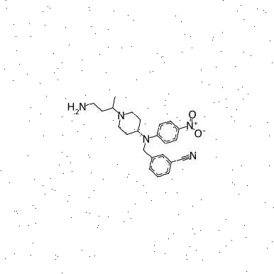 CC(CCN)N1CCC(N(Cc2cccc(C#N)c2)c2ccc([N+](=O)[O-])cc2)CC1